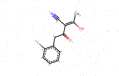 C/C(O)=C(\C#N)C(=O)Cc1ccccc1F